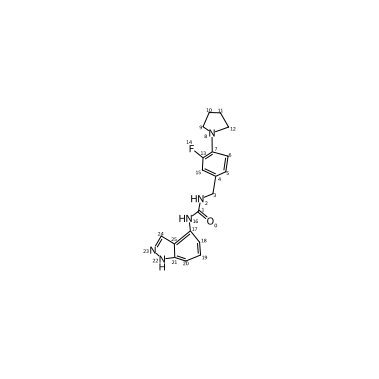 O=C(NCc1ccc(N2CCCC2)c(F)c1)Nc1cccc2[nH]ncc12